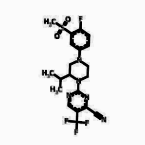 CC(C)C1CN(c2ccc(F)c(S(C)(=O)=O)c2)CCN1c1ncc(C(F)(F)F)c(C#N)n1